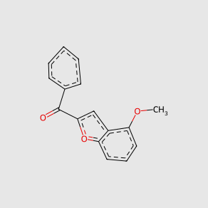 COc1cccc2oc(C(=O)c3ccccc3)cc12